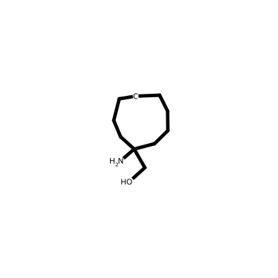 NC1(CO)CCCCCCCC1